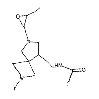 CC1OC1N1CC(CNC(=O)I)C2(CN(I)C2)C1